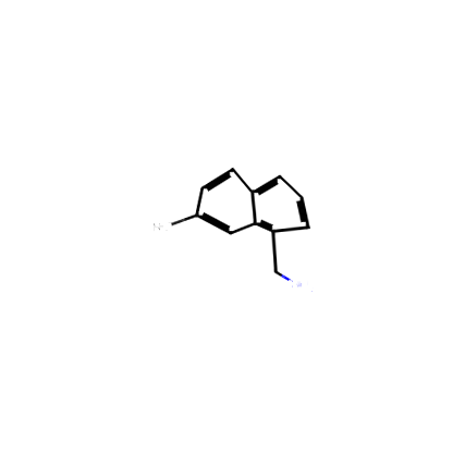 N#Cc1ccc2cccc(CN)c2c1